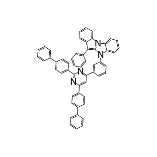 c1ccc(-c2ccc(-c3cc(-c4cccc(-n5c6ccccc6n6c7ccccc7c(-c7ccccc7)c56)c4)nc(-c4ccc(-c5ccccc5)cc4)n3)cc2)cc1